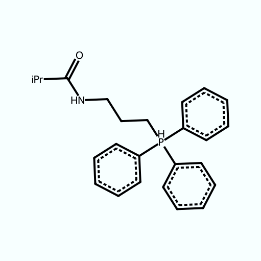 CC(C)C(=O)NCCC[PH](c1ccccc1)(c1ccccc1)c1ccccc1